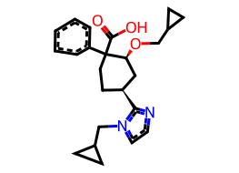 O=C(O)C1(c2ccccc2)CC[C@H](c2nccn2CC2CC2)C[C@@H]1OCC1CC1